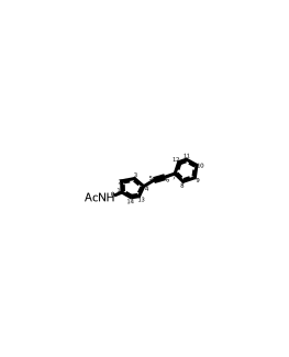 CC(=O)Nc1ccc(C#Cc2ccccc2)cc1